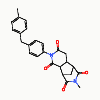 Cc1ccc(Cc2ccc(N3C(=O)CC4C5CC(C(=O)N(C)C5=O)C4C3=O)cc2)cc1